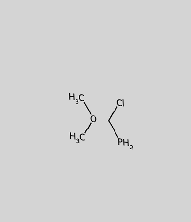 COC.PCCl